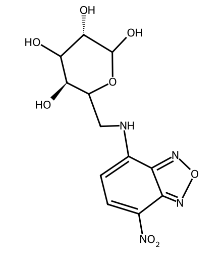 O=[N+]([O-])c1ccc(NCC2OC(O)[C@@H](O)C(O)[C@@H]2O)c2nonc12